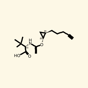 C#CCCC[C@@H]1C[C@H]1OC(=C)N[C@H](C(=O)O)C(C)(C)C